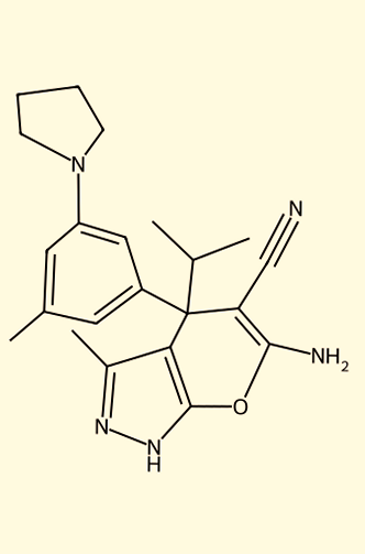 Cc1cc(N2CCCC2)cc(C2(C(C)C)C(C#N)=C(N)Oc3[nH]nc(C)c32)c1